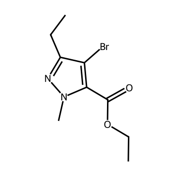 CCOC(=O)c1c(Br)c(CC)nn1C